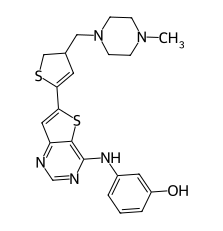 CN1CCN(CC2C=C(c3cc4ncnc(Nc5cccc(O)c5)c4s3)SC2)CC1